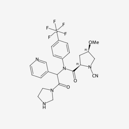 CO[C@@H]1C[C@H](C(=O)N(c2ccc(S(F)(F)(F)(F)F)cc2)C(C(=O)N2CCNC2)c2cccnc2)N(C#N)C1